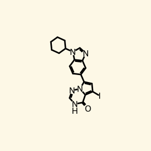 O=c1[nH]cnn2c(-c3ccc4c(c3)ncn4C3CCCCC3)cc(I)c12